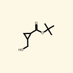 CC(C)(C)OC(=O)C1CC1CO